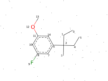 CCC(C)(CC)c1cc(F)cc(OC)c1